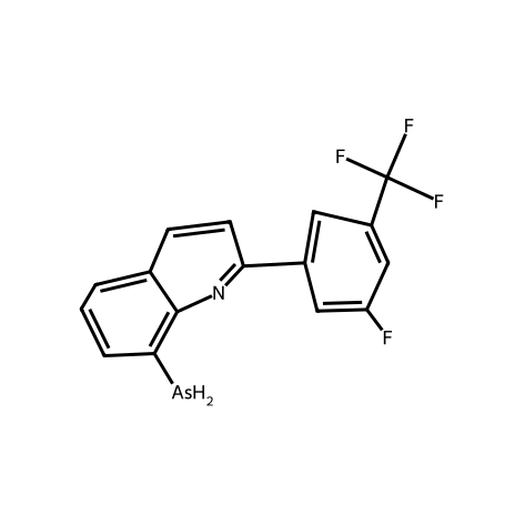 Fc1cc(-c2ccc3cccc([AsH2])c3n2)cc(C(F)(F)F)c1